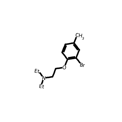 CCN(CC)CCOc1ccc(C)cc1Br